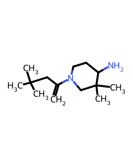 C=C(CC(C)(C)C)N1CCC(N)C(C)(C)C1